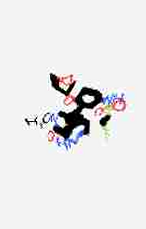 Cn1cc(-c2cc(NS(=O)(=O)CCF)ccc2OC2CCOC2)c2cc[nH]c2c1=O